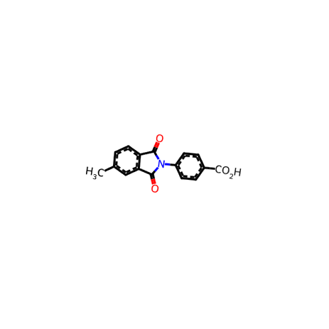 Cc1ccc2c(c1)C(=O)N(c1ccc(C(=O)O)cc1)C2=O